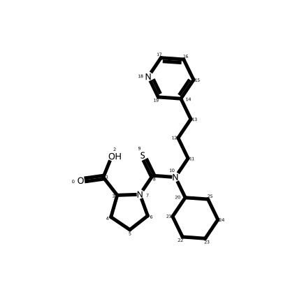 O=C(O)C1CCCN1C(=S)N(CCCc1cccnc1)C1CCCCC1